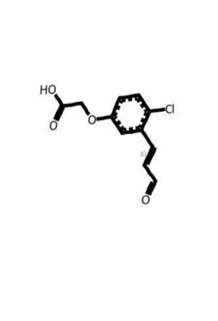 O=C/C=C/c1cc(OCC(=O)O)ccc1Cl